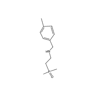 Cc1ccc(CNCCP(C)(C)=O)cc1